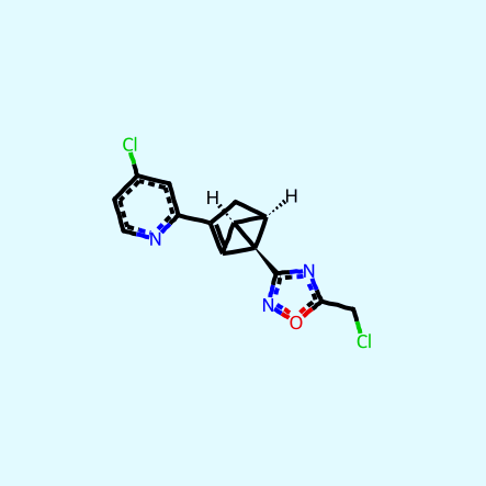 ClCc1nc([C@]23C4=C(c5cc(Cl)ccn5)C[C@@H]2[C@H]43)no1